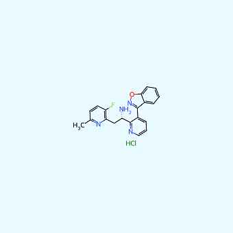 Cc1ccc(F)c(C[C@H](N)c2ncccc2-c2noc3ccccc23)n1.Cl